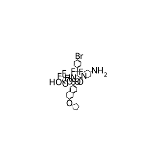 NC1CCN(C(=O)C(NS(=O)(=O)c2ccc3cc(OC4CCCC4)ccc3c2)C(F)(F)c2ccc(Br)cc2)CC1.O=C(O)C(F)(F)F